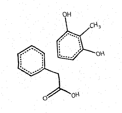 Cc1c(O)cccc1O.O=C(O)Cc1ccccc1